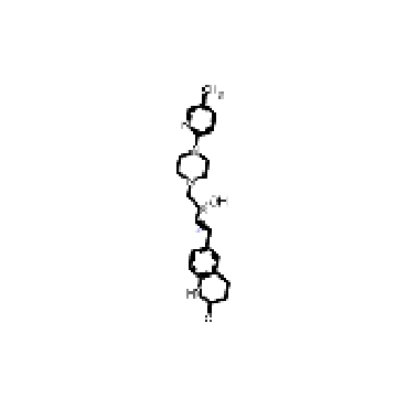 Cc1ccc(N2CCN(C[C@H](O)/C=C/c3ccc4c(c3)CCC(=O)N4)CC2)nc1